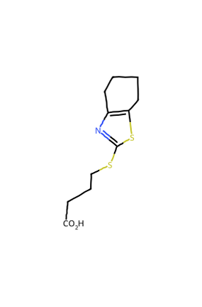 O=C(O)CCCSc1nc2c(s1)CCCC2